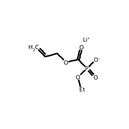 C=CCOC(=O)P(=O)([O-])OCC.[Li+]